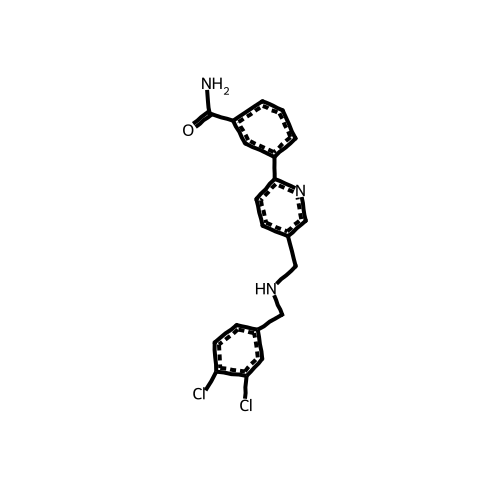 NC(=O)c1cccc(-c2ccc(CNCc3ccc(Cl)c(Cl)c3)cn2)c1